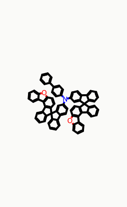 c1ccc(-c2ccc(N(c3ccc4c(c3)C3(c5ccccc5-4)c4ccccc4-c4c3ccc3oc5ccccc5c43)c3ccc4c(c3)C3(c5ccccc5-4)c4ccccc4-c4c3ccc3oc5ccccc5c43)cc2)cc1